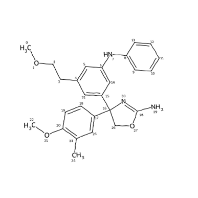 COCCc1cc(Nc2ccccc2)cc(C2(c3ccc(OC)c(C)c3)COC(N)=N2)c1